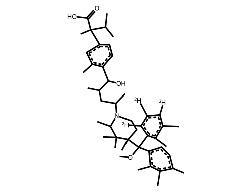 [2H]c1c([2H])c(C)c(C)c(C(OC)(c2ccc(C)c(C)c2C)C2(C)CCN(C(C)CC(C)C(O)c3ccc(C(C)(C(=O)O)C(C)C)cc3C)C(C)C2(C)C)c1[2H]